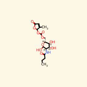 CCCC(=O)N[C@H]1C(O)O[C@H](COC(=O)OC2OC(=O)C=C2C)[C@@H](O)[C@@H]1O